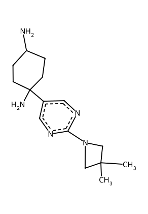 CC1(C)CN(c2ncc(C3(N)CCC(N)CC3)cn2)C1